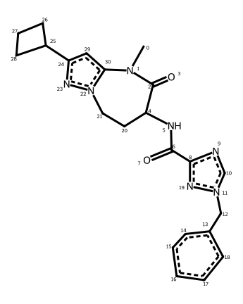 CN1C(=O)C(NC(=O)c2ncn(Cc3ccccc3)n2)CCn2nc(C3CCC3)cc21